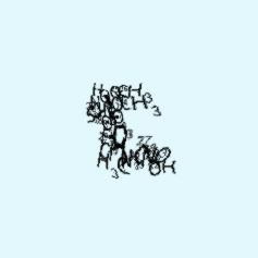 CN(c1ccc(S(=O)(=O)N(C(=O)OC(C)(C)C)c2cscn2)c(F)c1Cl)[C@H]1CCN(C(=O)O)C1